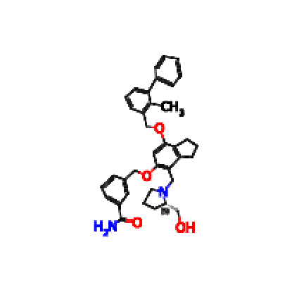 Cc1c(COc2cc(OCc3cccc(C(N)=O)c3)c(CN3CCC[C@H]3CO)c3c2CCC3)cccc1-c1ccccc1